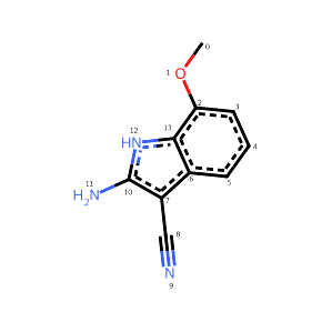 COc1cccc2c(C#N)c(N)[nH]c12